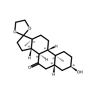 C[C@]12CC[C@@H](O)C[C@@H]1CC(=O)[C@@H]1[C@@H]2CC[C@@]2(C)[C@H]1CCC21OCCO1